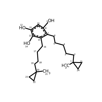 CC1(CCCCCc2c(O)cc(O)c(O)c2CCCCC2(C)CC2)CC1